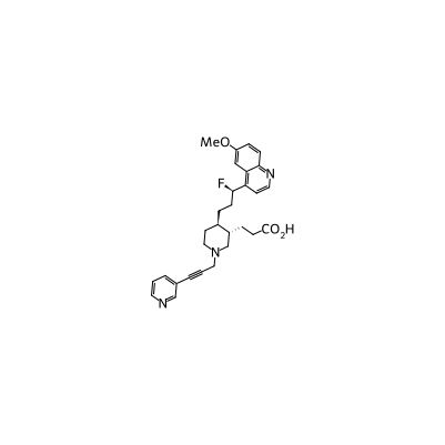 COc1ccc2nccc([C@H](F)CC[C@@H]3CCN(CC#Cc4cccnc4)C[C@H]3CCC(=O)O)c2c1